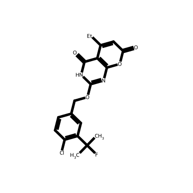 CCc1cc(=O)oc2nc(OCc3ccc(Cl)c(C(C)(C)F)c3)[nH]c(=O)c12